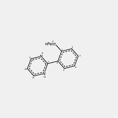 CCCCCc1ccccc1-c1ncccn1